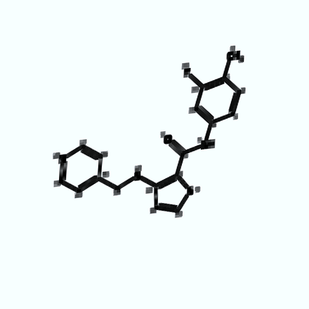 Cc1ccc(NC(=O)c2sccc2SCc2ccncc2)cc1F